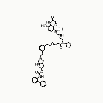 O=C1COc2c([C@@H](O)CNCCN(C(=O)CCOCCc3cccc(CCN4CC5CC(OC(=O)Nc6ccccc6-c6ccccc6)C[C@H]5C4)c3)C3CCCC3)ccc(O)c2N1